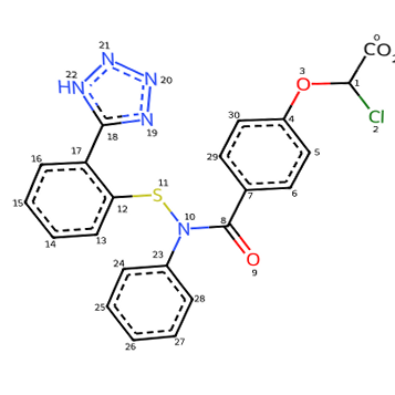 O=C(O)C(Cl)Oc1ccc(C(=O)N(Sc2ccccc2-c2nnn[nH]2)c2ccccc2)cc1